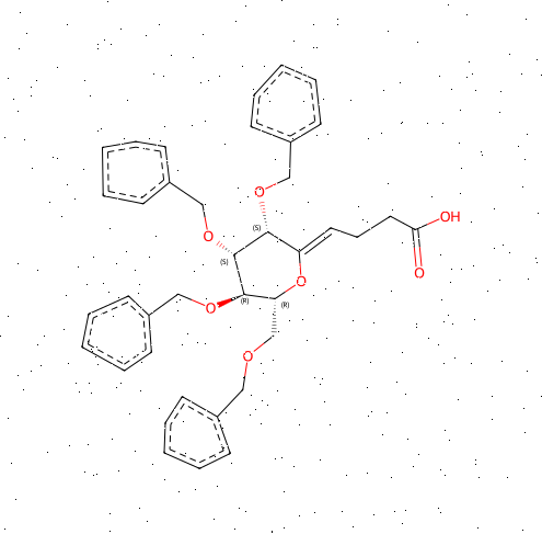 O=C(O)CCC=C1O[C@H](COCc2ccccc2)[C@@H](OCc2ccccc2)[C@H](OCc2ccccc2)[C@@H]1OCc1ccccc1